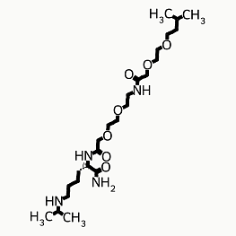 CC(C)CCOCCOCC(=O)NCCOCCOCC(=O)N[C@@H](CCCCNC(C)C)C(N)=O